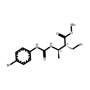 CC(C)C[C@@H](C(=O)OC(C)(C)C)[C@@H](C)NC(=O)Nc1ccc(Br)cc1